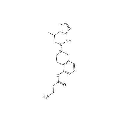 CCCN(CC(C)c1cccs1)[C@H]1CCc2c(cccc2OC(=O)CCN)C1